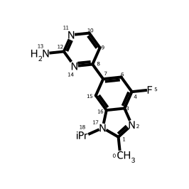 Cc1nc2c(F)cc(-c3ccnc(N)n3)cc2n1C(C)C